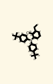 CCc1cccc(N(c2ccc(C(C)(C)C)cc2)c2ccc(C(C)(C)C)cc2)c1Cl